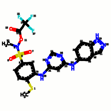 CSc1ccc(S(=O)(=O)N(C)OC(=O)C(F)(F)F)cc1Nc1cc(Nc2ccc3[nH]ncc3c2)ncn1